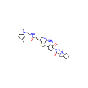 CCN(CCNC(=O)C=Cc1cnc(N)c2c(-c3ccc(NC(=O)c4cc5ccccc5n4C)c(OC)c3)csc12)c1cccc(C)c1